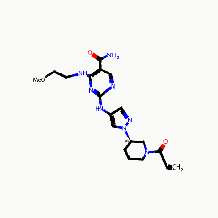 C=CC(=O)N1CCC[C@@H](n2cc(Nc3ncc(C(N)=O)c(NCCOC)n3)cn2)C1